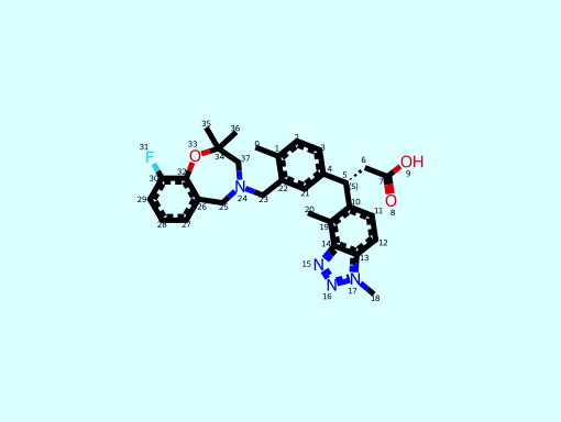 Cc1ccc([C@H](CC(=O)O)c2ccc3c(nnn3C)c2C)cc1CN1Cc2cccc(F)c2OC(C)(C)C1